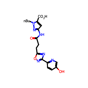 CCCCn1nc(NC(=O)CCc2nc(-c3ccc(O)cn3)no2)cc1C(=O)O